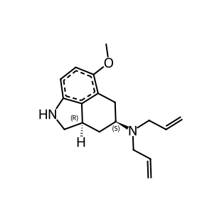 C=CCN(CC=C)[C@@H]1Cc2c(OC)ccc3c2[C@H](CN3)C1